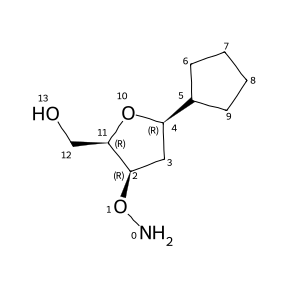 NO[C@@H]1C[C@H](C2CCCC2)O[C@@H]1CO